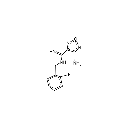 N=C(NCc1ccccc1F)c1nonc1N